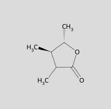 CC1C(=O)O[C@@H](C)[C@@H]1C